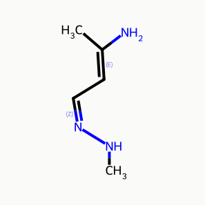 CN/N=C\C=C(/C)N